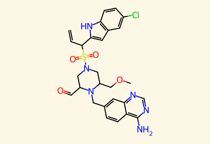 C=CC(c1cc2cc(Cl)ccc2[nH]1)S(=O)(=O)N1CC(C=O)N(Cc2ccc3c(N)ncnc3c2)C(COC)C1